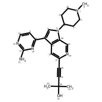 CN1CCC(n2cc(-c3ccnc(N)n3)c3cc(C#CC(C)(C)O)ncc32)CC1